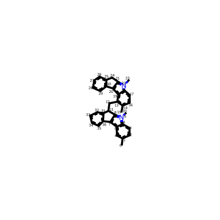 Cc1ccc2c(c1)c1c(n2C)C(Cc2c(C)ccc3c2c2c(n3C)Cc3ccccc3-2)c2ccccc2-1